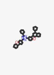 c1ccc(-c2nc(-c3ccc4c(c3)oc3ccccc34)nc(-c3ccc4oc5c6ccccc6c(-c6ccccc6)cc5c4c3)n2)cc1